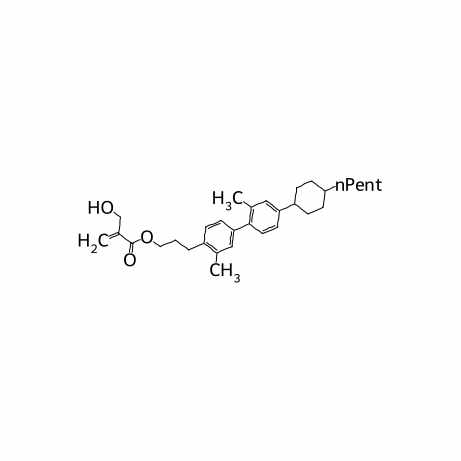 C=C(CO)C(=O)OCCCc1ccc(-c2ccc(C3CCC(CCCCC)CC3)cc2C)cc1C